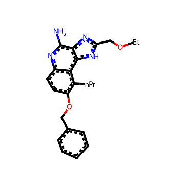 CCCc1c(OCc2ccccc2)ccc2nc(N)c3nc(COCC)[nH]c3c12